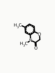 Cc1ccc2c(c1)N(C)C(=O)CO2